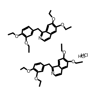 CCOc1ccc(Cc2nccc3cc(OCC)c(OCC)cc23)cc1OCC.CCOc1ccc(Cc2nccc3cc(OCC)c(OCC)cc23)cc1OCC.Cl.Cl